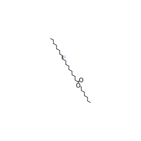 CCCCCCC/C=C/CCCCCCCCC(=O)OCCCCCCC